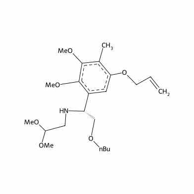 C=CCOc1cc([C@H](COCCCC)NCC(OC)OC)c(OC)c(OC)c1C